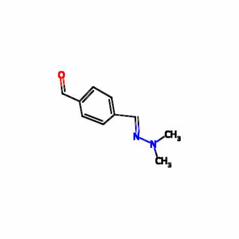 CN(C)/N=C/c1ccc(C=O)cc1